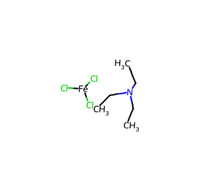 CCN(CC)CC.[Cl][Fe]([Cl])[Cl]